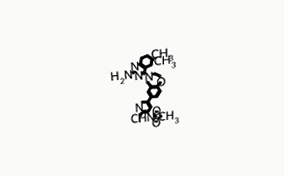 CC1(C)CCc2nc(N)nc(N3CCOc4ccc(-c5cnc(Cl)c(NS(C)(=O)=O)c5)cc4C3)c2C1